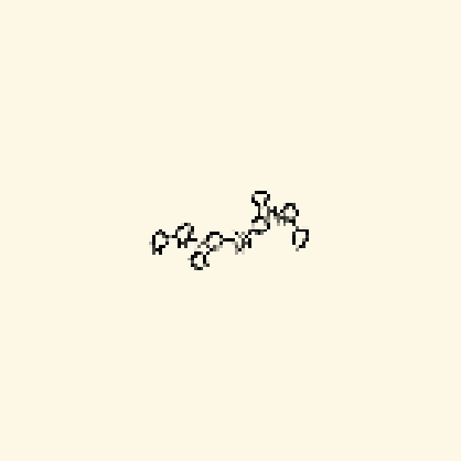 c1cncc(-c2cccc(-n3c4ccccc4c4cc(-c5nnc(-c6ccc7c(c6)c6ccccc6n7-c6cccc(-c7cccnc7)n6)s5)ccc43)n2)c1